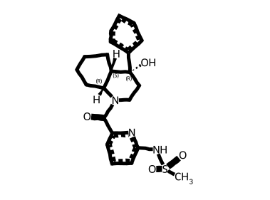 CS(=O)(=O)Nc1cccc(C(=O)N2CC[C@](O)(c3ccccc3)[C@H]3CCCC[C@H]32)n1